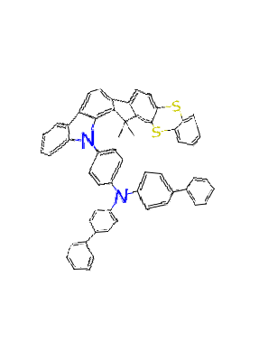 CC1(C)c2c(ccc3c2Sc2ccccc2S3)-c2ccc3c4ccccc4n(-c4ccc(N(c5ccc(-c6ccccc6)cc5)c5ccc(-c6ccccc6)cc5)cc4)c3c21